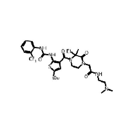 CCC1(C)C(=O)N(CC(=O)NCCN(C)C)CCN1C(=O)c1cc(C(C)(C)C)sc1NC(=O)Nc1ccccc1C(F)(F)F